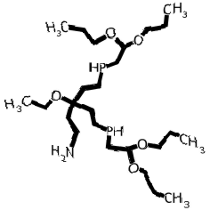 CCCOC(CPCCC(CCN)(CCPCC(OCCC)OCCC)OCC)OCCC